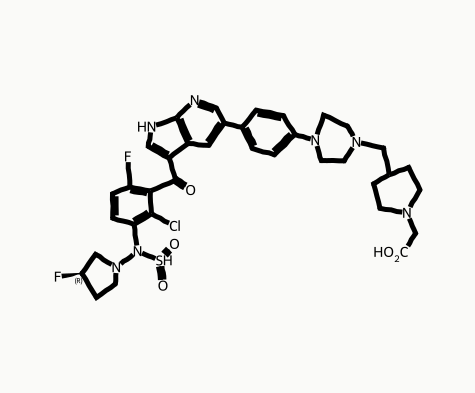 O=C(O)CN1CCC(CN2CCN(c3ccc(-c4cnc5[nH]cc(C(=O)c6c(F)ccc(N(N7CC[C@@H](F)C7)[SH](=O)=O)c6Cl)c5c4)cc3)CC2)CC1